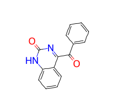 O=C(c1ccccc1)c1nc(=O)[nH]c2ccccc12